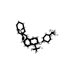 N#CC1CC2CCCC(C1)N2CCc1cccc2c(C(F)(F)F)c(OC3CCC(C(F)(F)F)CC3)ccc12